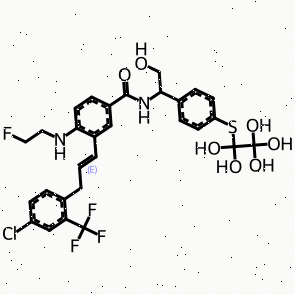 O=C(NC(CO)c1ccc(SC(O)(O)C(O)(O)O)cc1)c1ccc(NCCF)c(/C=C/Cc2ccc(Cl)cc2C(F)(F)F)c1